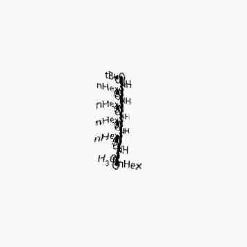 CCCCCCC(=O)N(C)CCNC(=O)CN(CCNC(=O)CN(CCNC(=O)CN(CCNC(=O)CN(CCNC(=O)OC(C)(C)C)C(=O)CCCCCC)C(=O)CCCCCC)C(=O)CCCCCC)C(=O)CCCCCC